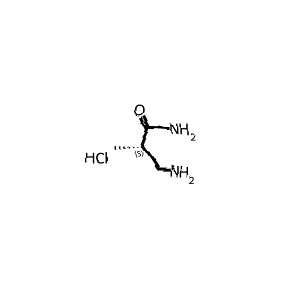 C[C@@H](CN)C(N)=O.Cl